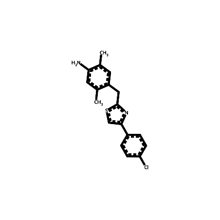 Cc1cc(Cc2nc(-c3ccc(Cl)cc3)cs2)c(C)cc1N